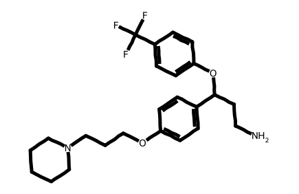 NCCC(Oc1ccc(C(F)(F)F)cc1)c1ccc(OCCCN2CCCCC2)cc1